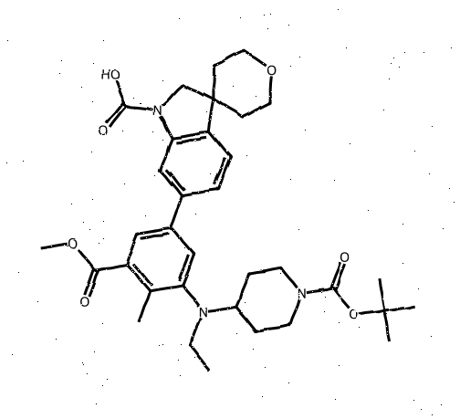 CCN(c1cc(-c2ccc3c(c2)N(C(=O)O)CC32CCOCC2)cc(C(=O)OC)c1C)C1CCN(C(=O)OC(C)(C)C)CC1